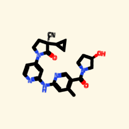 Cc1cc(Nc2cc(N3CC[C@@](C#N)(C4CC4)C3=O)ccn2)ncc1C(=O)N1CC[C@@H](O)C1